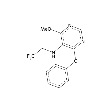 COc1ncnc(Oc2ccccc2)c1NCC(F)(F)F